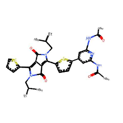 CCCCC(=O)Nc1cc(-c2ccc(C3=C4C(=O)N(CC(CC)CCCC)C(c5cccs5)=C4C(=O)N3CC(CC)CCCC)s2)cc(NC(=O)CCCC)n1